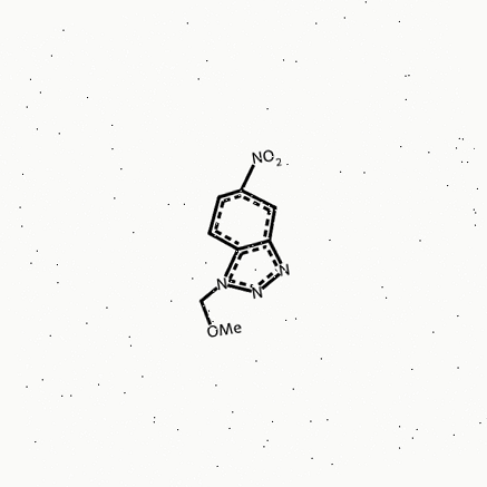 COCn1nnc2cc([N+](=O)[O-])ccc21